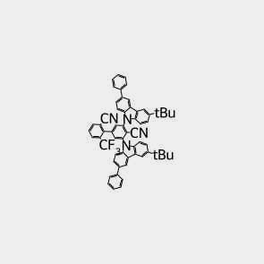 CC(C)(C)c1ccc2c(c1)c1cc(-c3ccccc3)ccc1n2-c1cc(-c2c(C#N)cccc2C(F)(F)F)cc(-n2c3ccc(-c4ccccc4)cc3c3cc(C(C)(C)C)ccc32)c1C#N